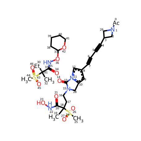 CC(=O)N1CC(C#CC#Cc2cc3n(c2)C(=O)N(CCC(C)(C(=O)NO)S(C)(=O)=O)C3)C1.CC[C@](C)(C(=O)NOC1CCCCO1)S(C)(=O)=O